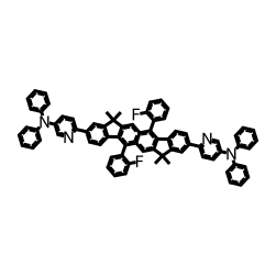 CC1(C)c2cc(-c3ccc(N(c4ccccc4)c4ccccc4)cn3)ccc2-c2c1cc1c(-c3ccccc3F)c3c(cc1c2-c1ccccc1F)C(C)(C)c1cc(-c2ccc(N(c4ccccc4)c4ccccc4)cn2)ccc1-3